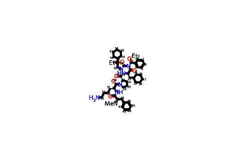 [CH2]Cc1ccccc1C(=O)N(C(=O)[C@@H](CC1CCCCC1)NC(=O)[C@@H]1CCCN1C(=O)[C@H](CCCCN)NC(=O)[C@H](Cc1ccccc1)NC)C1=NCC(CC)(C2CCCCC2)O1